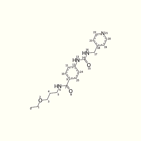 CCOCCCNC(=O)c1ccc(NC(=O)NCc2ccncc2)cc1